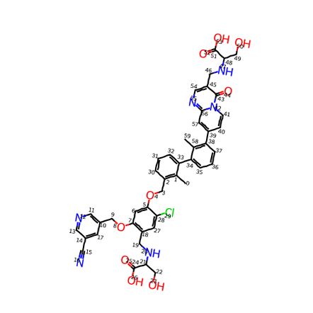 Cc1c(COc2cc(OCc3cncc(C#N)c3)c(CNC(CO)C(=O)O)cc2Cl)cccc1-c1cccc(-c2ccn3c(=O)c(CNC(CO)C(=O)O)cnc3c2)c1C